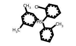 Cc1cc(C)cc([SiH](c2ccccc2C)c2ccccc2Cl)c1